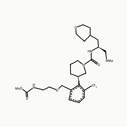 CNC[C@H](CC1CCOCC1)NC(=O)N1CCC[C@H](c2c(COCCNC(=O)OC)cccc2C(F)(F)F)C1